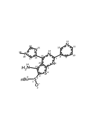 CCCC[S+]([O-])c1sc2nc(-c3cccnc3)nc(-c3cn(C)cn3)c2c1N